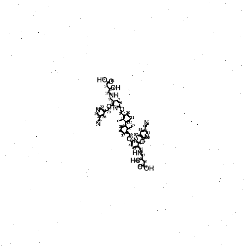 Cc1c(COc2ccc(CNCC(O)CC(=O)O)c(OCc3cncc(C#N)c3)n2)cccc1-c1cccc(COc2ccc(CNCC(O)CC(=O)O)c(=O)n2Cc2cncc(C#N)c2)c1C